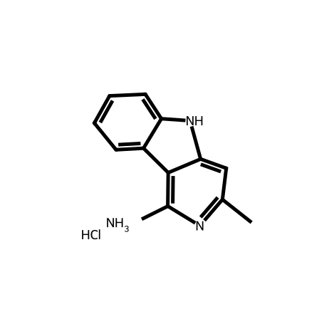 Cc1cc2[nH]c3ccccc3c2c(C)n1.Cl.N